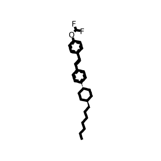 CCCCCCC[C@H]1CC[C@H](c2ccc(C=Cc3ccc(OC(F)F)cc3)cc2)CC1